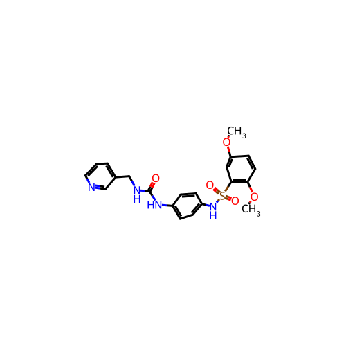 COc1ccc(OC)c(S(=O)(=O)Nc2ccc(NC(=O)NCc3cccnc3)cc2)c1